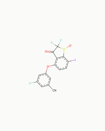 N#Cc1cc(F)cc(Oc2ccc(I)c3c2C(=O)C(F)(F)[S+]3[O-])c1